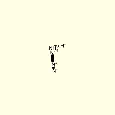 [H-].[N-]=[N+]=[N-].[NH4+].[Ti+]